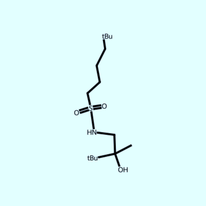 CC(C)(C)CCCCS(=O)(=O)NCC(C)(O)C(C)(C)C